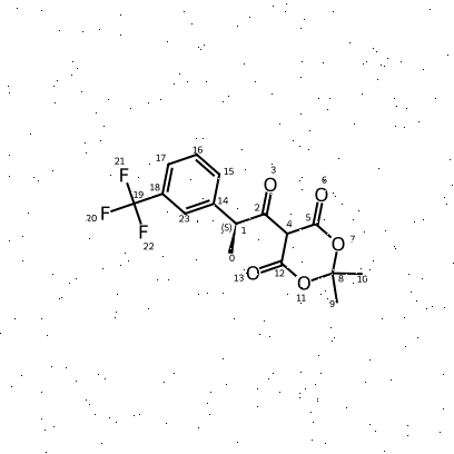 C[C@H](C(=O)C1C(=O)OC(C)(C)OC1=O)c1cccc(C(F)(F)F)c1